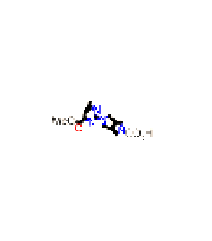 COC(=O)c1cc(C)nc(N2CC3CN(C(=O)O)CC3C2)n1